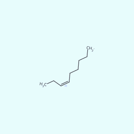 [CH2]CCCC/C=C\CC